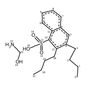 CCCCc1cc2ccccc2c(S(=O)(=O)O)c1CCCC.NCO